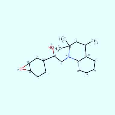 CC1CC(C)(C)N(CC(O)C2CCC3OC3C2)C2CCCCC12